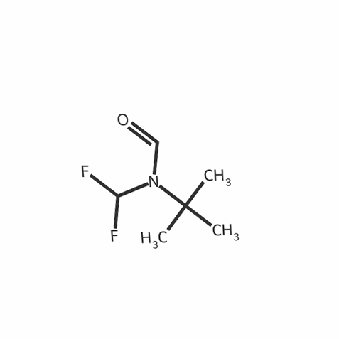 CC(C)(C)N(C=O)C(F)F